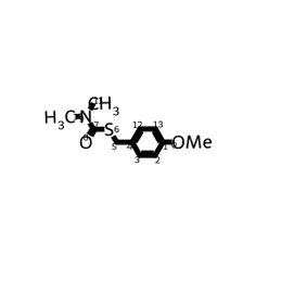 COc1ccc(CSC(=O)N(C)C)cc1